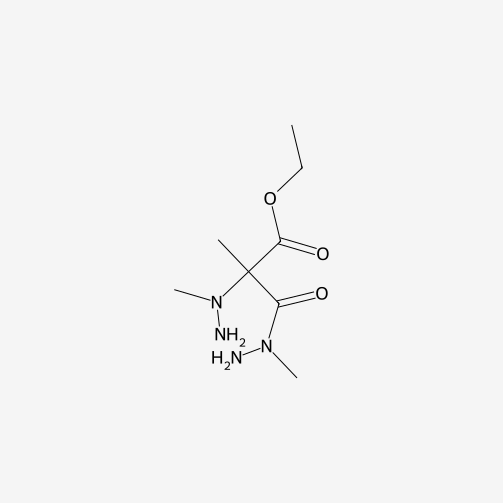 CCOC(=O)C(C)(C(=O)N(C)N)N(C)N